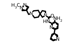 Cn1cc(CN2CCC3(CC2)CCN(C(=O)Nc2nc(-c4cccnc4)ccc2N)C3)cn1